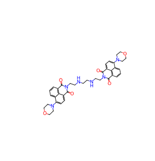 O=C1c2cccc3c(N4CCOCC4)ccc(c23)C(=O)N1CCNCCNCCN1C(=O)c2cccc3c(N4CCOCC4)ccc(c23)C1=O